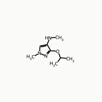 CNc1cn(C)nc1OC(C)C